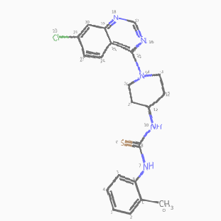 Cc1ccccc1NC(=S)NC1CCN(c2ncnc3cc(Cl)ccc23)CC1